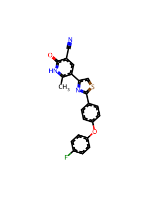 Cc1[nH]c(=O)c(C#N)cc1-c1csc(-c2ccc(Oc3ccc(F)cc3)cc2)n1